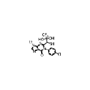 CCn1cnc2c(=O)n(-c3ccc(Cl)cc3)c(C(S)C(O)(O)C(F)(F)F)nc21